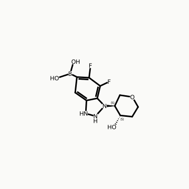 OB(O)c1cc2c(c(F)c1F)N([C@H]1COCC[C@@H]1O)NN2